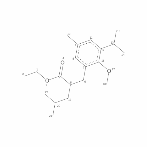 CCOC(=O)C(Cc1cc(C)cc(C(C)C)c1OC)CC(C)C